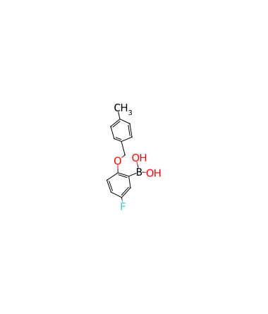 Cc1ccc(COc2ccc(F)cc2B(O)O)cc1